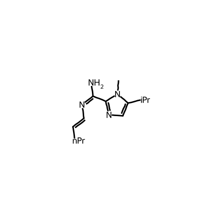 CCC/C=C/N=C(/N)c1ncc(C(C)C)n1C